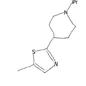 Cc1cnc(C2CCN(C(C)C)CC2)s1